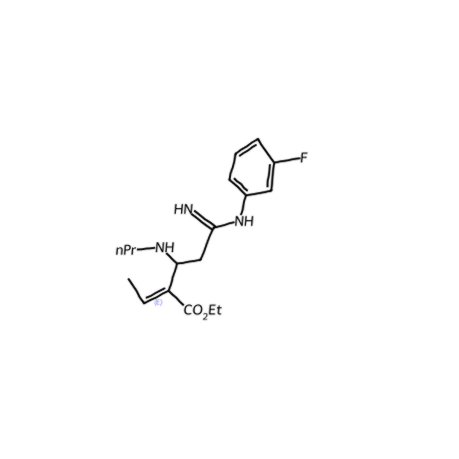 C/C=C(/C(=O)OCC)C(CC(=N)Nc1cccc(F)c1)NCCC